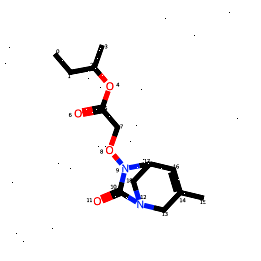 CCC(C)OC(=O)CON1C(=O)N2CC(C)=CC1C2